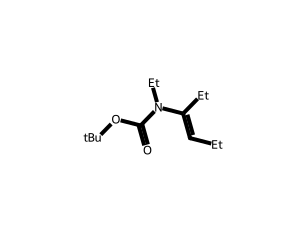 CC/C=C(\CC)N(CC)C(=O)OC(C)(C)C